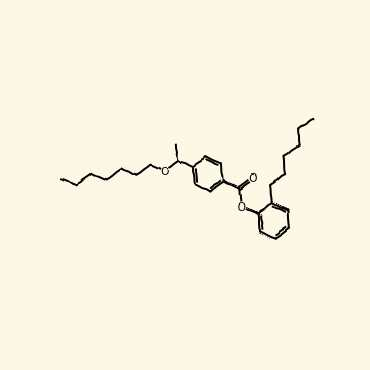 CCCCCCCOC(C)c1ccc(C(=O)Oc2ccccc2CCCCCC)cc1